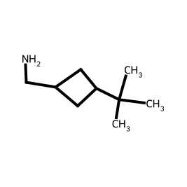 CC(C)(C)C1CC(CN)C1